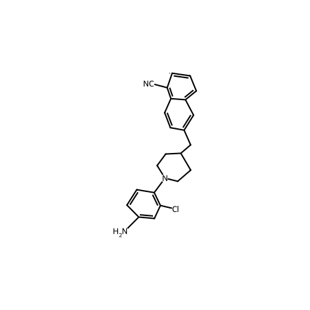 N#Cc1[c]ccc2cc(CC3CCN(c4ccc(N)cc4Cl)CC3)ccc12